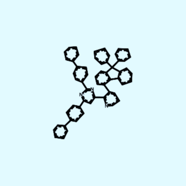 c1ccc(-c2ccc(-c3cc(-c4ncccc4-c4cccc5c4-c4ccccc4C5(c4ccccc4)c4ccccc4)nc(-c4ccc(-c5ccccc5)cc4)n3)cc2)cc1